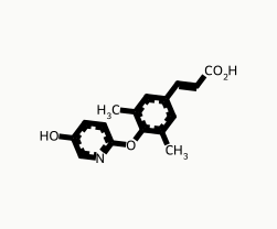 Cc1cc(C=CC(=O)O)cc(C)c1Oc1ccc(O)cn1